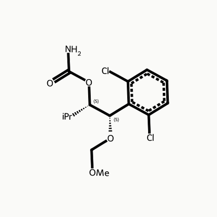 COCO[C@@H](c1c(Cl)cccc1Cl)[C@@H](OC(N)=O)C(C)C